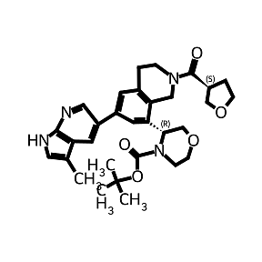 Cc1c[nH]c2ncc(-c3cc4c(c([C@@H]5COCCN5C(=O)OC(C)(C)C)c3)CN(C(=O)[C@H]3CCOC3)CC4)cc12